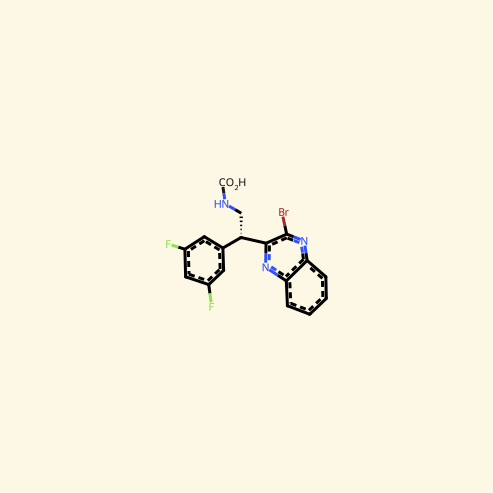 O=C(O)NC[C@@H](c1cc(F)cc(F)c1)c1nc2ccccc2nc1Br